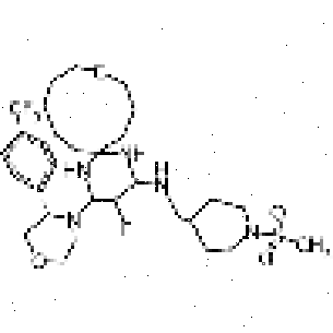 CS(=O)(=O)N1CCC(CNC2NC3(CCCCCCCCC3)NC(N3CCOC[C@@H]3c3ccc(C(F)(F)F)cc3)C2F)CC1